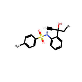 C#CC(O)(CC(C)C)c1ccccc1NS(=O)(=O)c1ccc(C)cc1